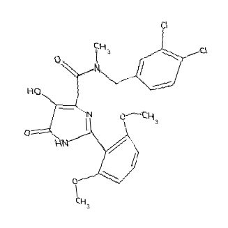 COc1cccc(OC)c1-c1nc(C(=O)N(C)Cc2ccc(Cl)c(Cl)c2)c(O)c(=O)[nH]1